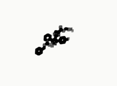 CCOC(=O)c1csc(-c2c(-c3ccc(F)cc3)n[nH]c2C2CCCCN2C(=O)OCc2ccccc2)n1